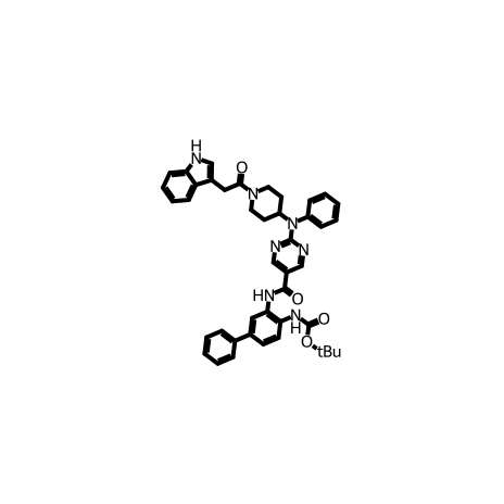 CC(C)(C)OC(=O)Nc1ccc(-c2ccccc2)cc1NC(=O)c1cnc(N(c2ccccc2)C2CCN(C(=O)Cc3c[nH]c4ccccc34)CC2)nc1